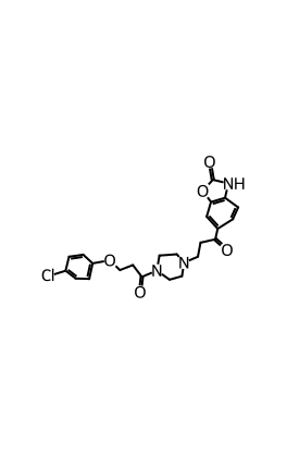 O=C(CCN1CCN(C(=O)CCOc2ccc(Cl)cc2)CC1)c1ccc2[nH]c(=O)oc2c1